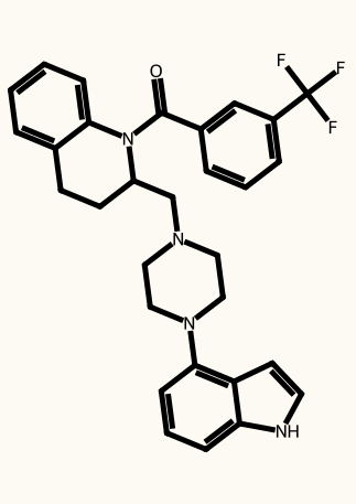 O=C(c1cccc(C(F)(F)F)c1)N1c2ccccc2CCC1CN1CCN(c2cccc3[nH]ccc23)CC1